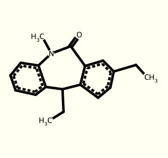 CCc1ccc2c(c1)C(=O)N(C)c1ccccc1C2CC